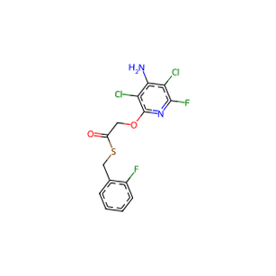 Nc1c(Cl)c(F)nc(OCC(=O)SCc2ccccc2F)c1Cl